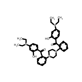 CCN(CC)c1ccc(C(=O)c2ccccc2N2CCN(c3ccccc3C(=O)c3ccc(N(CC)CC)cc3O)CC2)c(O)c1